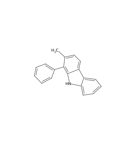 Cc1ccc2c([nH]c3ccccc32)c1-c1ccccc1